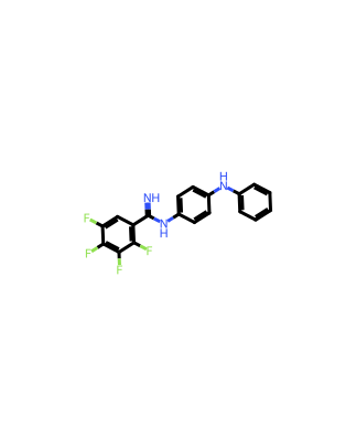 N=C(Nc1ccc(Nc2ccccc2)cc1)c1cc(F)c(F)c(F)c1F